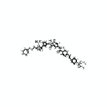 CN(C)c1ccc(/C=C/c2ccc(C(=O)Nc3cc(C(=O)Nc4cc(C(=O)NCCCCN5CCCCC5)n(C)c4)n(C)c3)cn2)cc1